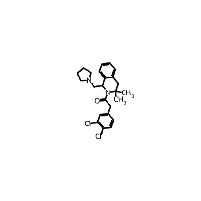 CC1(C)Cc2ccccc2C(CN2CCCC2)N1C(=O)Cc1ccc(Cl)c(Cl)c1